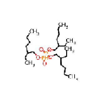 CCCCC(CC)CO[PH](=O)P(=O)(OCC(CC)CCCC)OCC(CC)CCCC